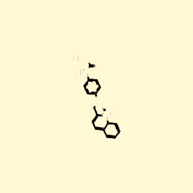 CC(=O)Nc1ccc(OCC2=CC=C3C=CC=CC3[N+]2(C)O)cc1